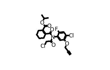 C#CCOc1cc(N(C(=O)CCl)C(=O)C2=C(C(=O)OC(C)C)CCCC2)c(F)cc1Cl